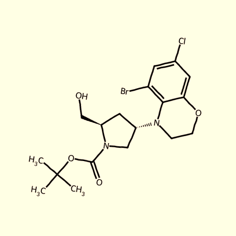 CC(C)(C)OC(=O)N1C[C@@H](N2CCOc3cc(Cl)cc(Br)c32)C[C@@H]1CO